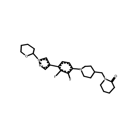 O=C1CCCCN1CC1CCN(c2ccc(-c3cnn(C4CCCCO4)c3)c(F)c2F)CC1